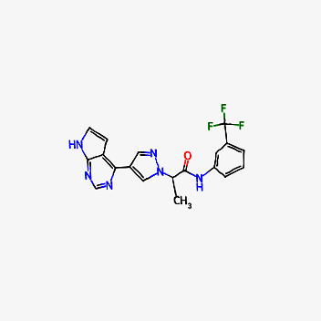 CC(C(=O)Nc1cccc(C(F)(F)F)c1)n1cc(-c2ncnc3[nH]ccc23)cn1